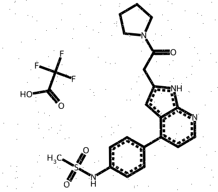 CS(=O)(=O)Nc1ccc(-c2ccnc3[nH]c(CC(=O)N4CCCC4)cc23)cc1.O=C(O)C(F)(F)F